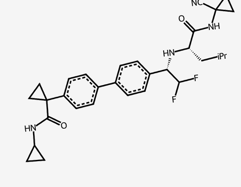 CC(C)C[C@H](N[C@@H](c1ccc(-c2ccc(C3(C(=O)NC4CC4)CC3)cc2)cc1)C(F)F)C(=O)NC1(C#N)CC1